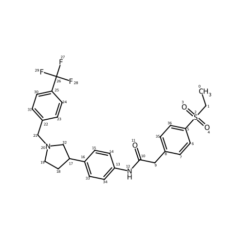 CCS(=O)(=O)c1ccc(CC(=O)Nc2ccc(C3CCN(Cc4ccc(C(F)(F)F)cc4)C3)cc2)cc1